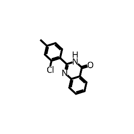 Cc1ccc(-c2nc3ccccc3c(=O)[nH]2)c(Cl)c1